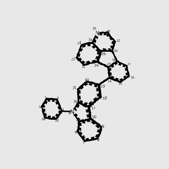 c1ccc(-n2c3ccccc3c3cc(-c4cccc5c4-c4cccc6nccc-5c46)ccc32)cc1